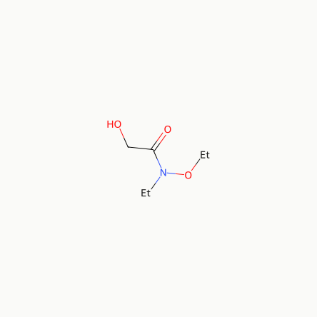 CCON(CC)C(=O)CO